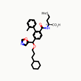 CSCC[C@H](NC(=O)c1ccc(C(OCCCC2CCCCC2)c2cnco2)cc1-c1ccccc1C)C(=O)O